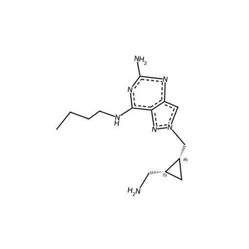 CCCCNc1nc(N)nc2cn(C[C@@H]3C[C@@H]3CN)nc12